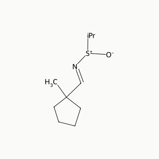 CC(C)[S+]([O-])/N=C/C1(C)CCCC1